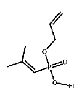 C=CCOP(=O)(C=C(C)C)OCC